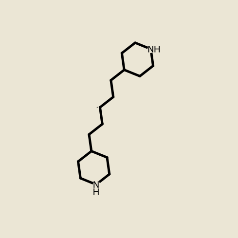 [CH](CCC1CCNCC1)CCC1CCNCC1